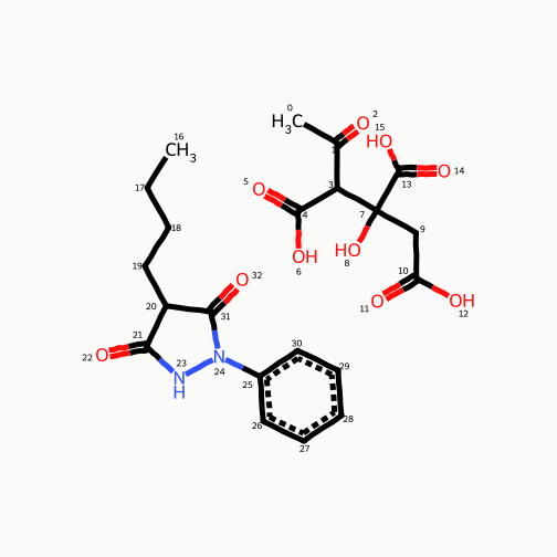 CC(=O)C(C(=O)O)C(O)(CC(=O)O)C(=O)O.CCCCC1C(=O)NN(c2ccccc2)C1=O